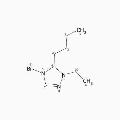 CCCCC1N(Br)C=NN1CC